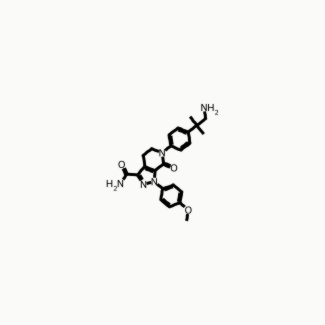 COc1ccc(-n2nc(C(N)=O)c3c2C(=O)N(c2ccc(C(C)(C)CN)cc2)CC3)cc1